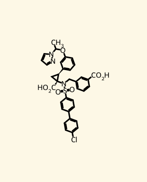 CC(Oc1cccc([C@@H]2C[C@@]2(C(=O)O)N(Cc2cccc(C(=O)O)c2)S(=O)(=O)c2ccc(-c3ccc(Cl)cc3)cc2)c1)n1cccn1